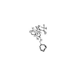 O=C(N[C@@H]1C[C@H](OCc2ccccc2)[C@H]2CO[C@@H]1O2)C(F)(F)F